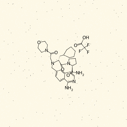 NC(=O)[C@@H]1CCCN1C(=O)[C@@H](CC1CCCCC1)N(CC(=O)N1CCOCC1)Cc1ccc2c(N)nccc2c1.O=C(O)C(F)(F)F